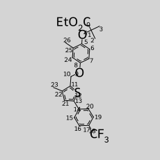 CCOC(=O)C(C)(C)Oc1ccc(OCc2sc(-c3ccc(C(F)(F)F)cc3)cc2C)cc1C